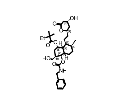 CCC(C)(C)C(=O)O[C@H]1C[C@H](CO)[C@H](OC(=O)NCc2ccccc2)[C@@H]2CC[C@H](C)[C@H](CC[C@@H]3C[C@@H](O)CC(=O)O3)[C@H]21